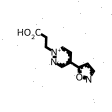 O=C(O)CC[n+]1ccc(-c2ccno2)cn1